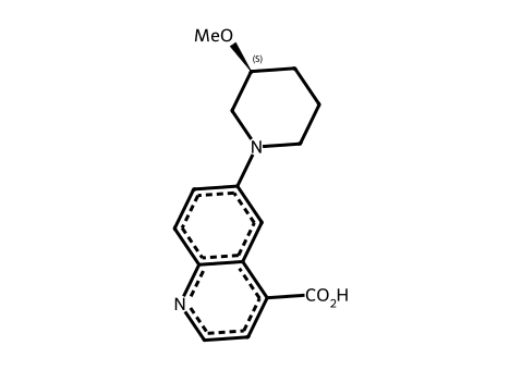 CO[C@H]1CCCN(c2ccc3nccc(C(=O)O)c3c2)C1